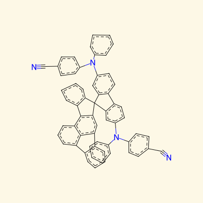 N#Cc1ccc(N(c2ccccc2)c2ccc3c(c2)C2(c4cc(N(c5ccccc5)c5ccc(C#N)cc5)ccc4-3)c3ccccc3-c3c2cc2c4c(cccc34)-c3ccccc3-2)cc1